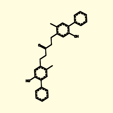 Cc1cc(-c2ccccc2)c(O)cc1CCC(=O)CCc1cc(O)c(-c2ccccc2)cc1C